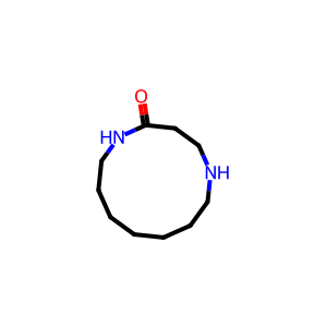 O=C1CCNCCCCCCCN1